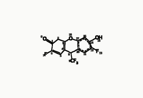 O=C1CC2=C(C=C1F)C(C(F)(F)F)c1cc(F)c(O)cc1O2